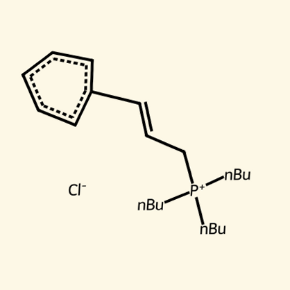 CCCC[P+](CC=Cc1ccccc1)(CCCC)CCCC.[Cl-]